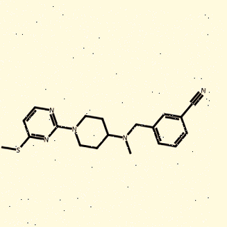 CSc1ccnc(N2CCC(N(C)Cc3cccc(C#N)c3)CC2)n1